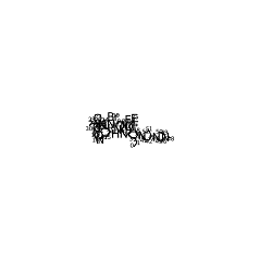 CCc1cc(Nc2ncc(Br)c(Nc3ccc4nccnc4c3N(C)S(=O)(=O)C(C)C)n2)c(OC(F)(F)F)cc1N1CCC(N2CCN(C)CC2)CC1